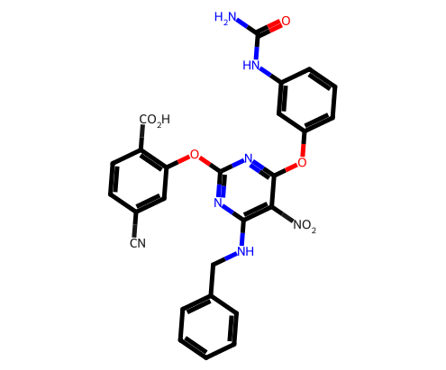 N#Cc1ccc(C(=O)O)c(Oc2nc(NCc3ccccc3)c([N+](=O)[O-])c(Oc3cccc(NC(N)=O)c3)n2)c1